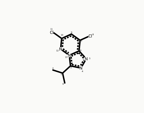 CC(C)c1nnc2c(Cl)cc(Cl)nn12